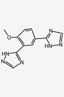 COc1ccc(-c2ncn[nH]2)cc1-c1ncn[nH]1